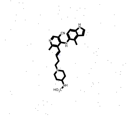 Cc1ncc(C#N)c(Nc2ccc3[nH]ccc3c2C)c1/C=C/CCN1CCC(NC(=O)O)CC1